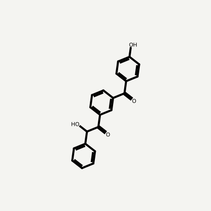 O=C(c1ccc(O)cc1)c1cccc(C(=O)C(O)c2ccccc2)c1